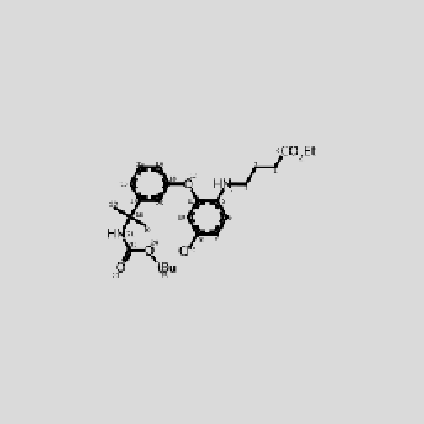 CCOC(=O)CCCNc1ccc(Cl)cc1Oc1cccc(C(C)(C)NC(=O)OC(C)(C)C)c1